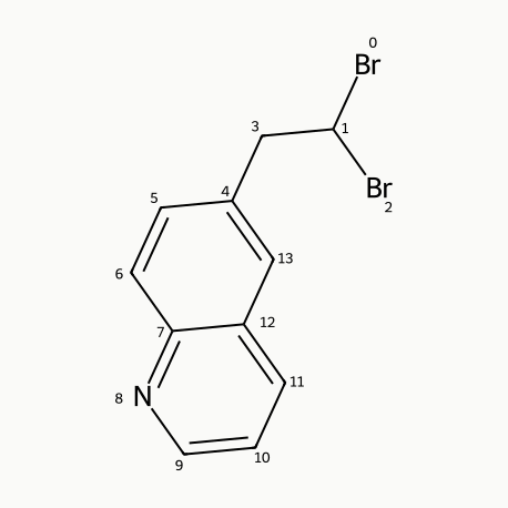 BrC(Br)Cc1ccc2ncccc2c1